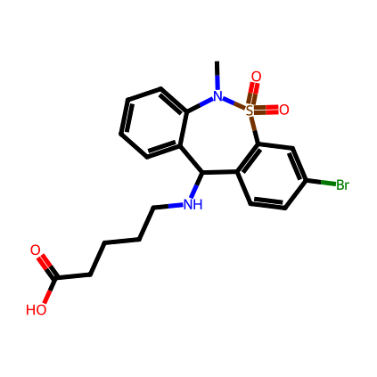 CN1c2ccccc2C(NCCCCC(=O)O)c2ccc(Br)cc2S1(=O)=O